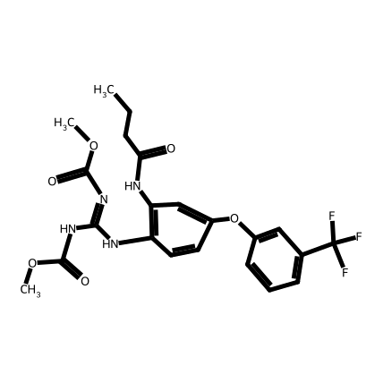 CCCC(=O)Nc1cc(Oc2cccc(C(F)(F)F)c2)ccc1NC(=NC(=O)OC)NC(=O)OC